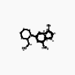 Nc1cc(N2CCCCC2CO)cn2c(Br)cnc12